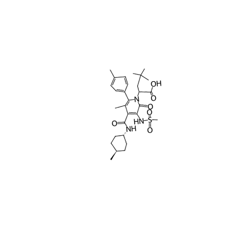 Cc1ccc(-c2c(C)c(C(=O)N[C@H]3CC[C@H](C)CC3)c(NS(C)(=O)=O)c(=O)n2C(CC(C)(C)C)C(=O)O)cc1